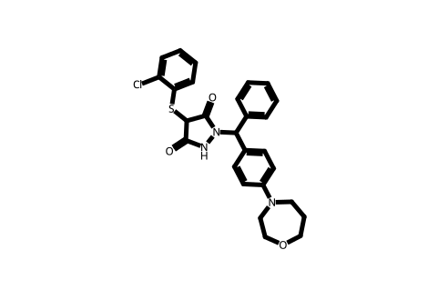 O=C1NN(C(c2ccccc2)c2ccc(N3CCCOCC3)cc2)C(=O)C1Sc1ccccc1Cl